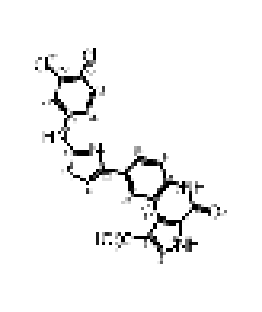 O=C(O)c1c[nH]c2c(=O)[nH]c3ccc(-c4csc(Nc5ccc(Cl)c(Cl)c5)n4)cc3c12